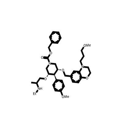 CCNC(C)CO[C@@H]1CN(C(=O)OCc2ccccc2)C[C@H](OCc2ccc3c(c2)N(CCCOC)CCO3)[C@H]1c1ccc(OC)cc1